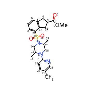 COC(=O)C1Cc2cccc(S(=O)(=O)N3C[C@H](C)N(c4ccc(C(F)(F)F)cn4)C[C@@H]3C)c2C1